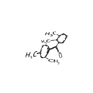 Cc1ccc(C(=O)c2cccc(C)c2C)c(C)c1